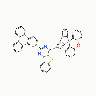 c1ccc2c(c1)Oc1ccccc1C21c2ccccc2-c2cc(-c3nc(-c4ccc5c6ccccc6c6ccccc6c5c4)nc4c3sc3ccccc34)ccc21